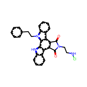 O=C1c2c(c3c4ccccc4n(CCc4ccccc4)c3c3[nH]c4ccccc4c23)C(=O)N1CCNCl